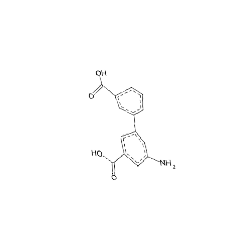 Nc1cc(C(=O)O)cc(-c2cccc(C(=O)O)c2)c1